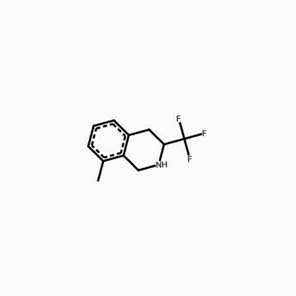 Cc1cccc2c1CNC(C(F)(F)F)C2